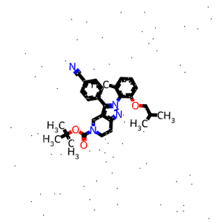 Cc1cccc(OCC(C)C)c1-n1nc2c(c1-c1ccc(C#N)cc1)CN(C(=O)OC(C)(C)C)CC2